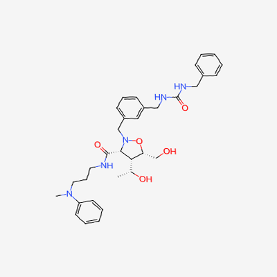 C[C@@H](O)[C@H]1[C@@H](CO)ON(Cc2cccc(CNC(=O)NCc3ccccc3)c2)[C@H]1C(=O)NCCCN(C)c1ccccc1